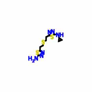 Nc1nnc(CCSCCc2nnc(NC3CC3)s2)s1